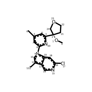 CO[C@@]1(c2cc(C)cc(-n3cc(I)c4cnc(Cl)cc43)n2)CCOC1